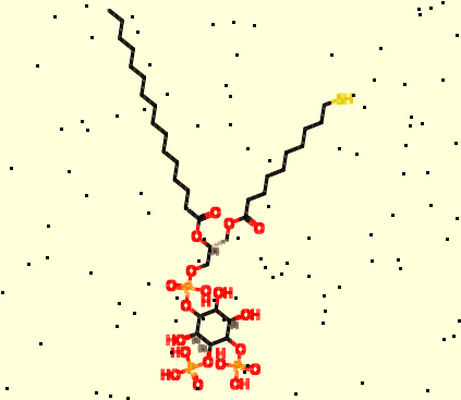 CCCCCCCCCCCCCCCC(=O)O[C@H](COC(=O)CCCCCCCCCS)COP(=O)(O)OC1C(O)[C@@H](O)C(OP(=O)(O)O)[C@@H](OP(=O)(O)O)[C@H]1O